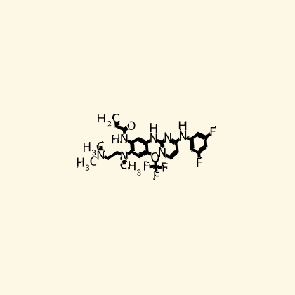 C=CC(=O)Nc1cc(Nc2nccc(Nc3cc(F)cc(F)c3)n2)c(OC(F)(F)F)cc1N(C)CCN(C)C